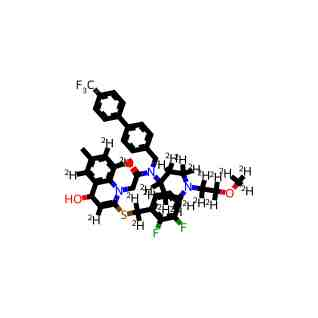 [2H]C1=C(SC([2H])([2H])c2cccc(F)c2F)N(CC(=O)N(Cc2ccc(-c3ccc(C(F)(F)F)cc3)cc2)C2([2H])C([2H])([2H])C([2H])([2H])N(C([2H])([2H])C([2H])([2H])OC([2H])([2H])[2H])C([2H])([2H])C2([2H])[2H])c2c([2H])c([2H])c(C)c([2H])c2C1O